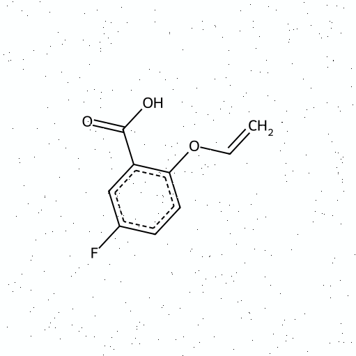 C=COc1ccc(F)cc1C(=O)O